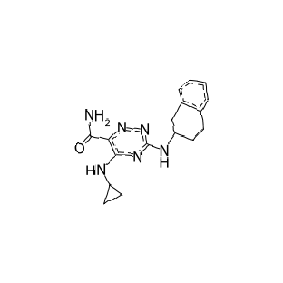 NC(=O)c1nnc(NC2CCc3ccccc3C2)nc1NC1CC1